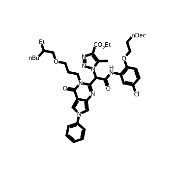 CCCCCCCCCCCCOc1ccc(Cl)cc1NC(=O)C(c1nc2cn(-c3ccccc3)cc2c(=O)n1CCCOCC(CC)CCCC)n1nnc(C(=O)OCC)c1C